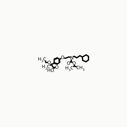 CCOC(C)(C(=O)O)c1ccc(OCCN(CCCC2CCCCC2)C(=O)OC(C)C)cc1